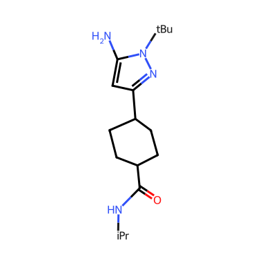 CC(C)NC(=O)C1CCC(c2cc(N)n(C(C)(C)C)n2)CC1